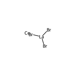 [Br][La]([Br])[Br].[Ce]